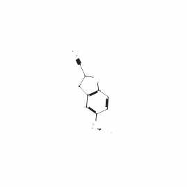 N#CC1Cc2cc([N+](=O)[O-])ccc2O1